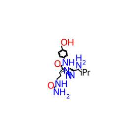 CC(C)C(N)c1cn([C@@H](CCCNC(N)=O)C(=O)Nc2ccc(CO)cc2)nn1